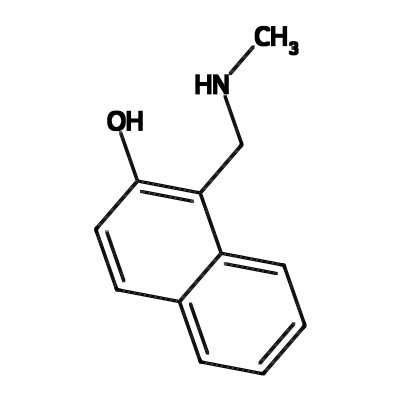 CNCc1c(O)ccc2ccccc12